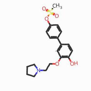 CS(=O)(=O)Oc1ccc(-c2[c]c(OCCN3CCCC3)c(O)cc2)cc1